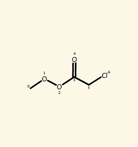 COOC(=O)CCl